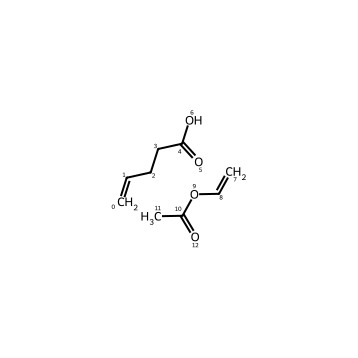 C=CCCC(=O)O.C=COC(C)=O